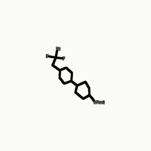 CCCCCC1CCC(C2CCC(CC(F)(F)CC)CC2)CC1